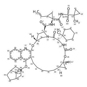 C=CC1C[C@]1(NC(=O)[C@@H]1C[C@@H]2CN1C(=O)[C@H](C1(C)CCCCC1)NC(=O)O[C@@H]1C[C@H]1CCCCCc1c(nc3ccccc3c1OC1CC3CCC(C1)N3C)O2)C(=O)NS(=O)(=O)C1(C)CC1